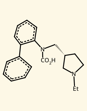 CCN1CC[C@@H](CN(C(=O)O)c2ccccc2-c2ccccc2)C1